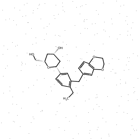 CCc1ccc([C@H]2C[C@@H](O)C[C@@H](CO)O2)cc1Cc1ccc2c(c1)OCCO2